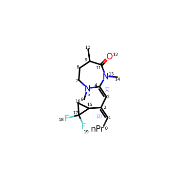 CCC/C=C(/C=C1\N(C)CCC(C)C(=O)N1C)C1CC1(F)F